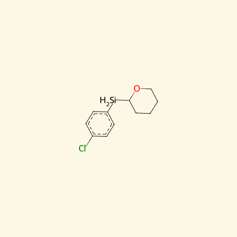 Clc1ccc([SiH2]C2CCCCO2)cc1